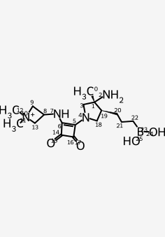 C[C@]1(N)CN(c2c(NC3C[N+](C)(C)C3)c(=O)c2=O)C[C@@H]1CCCB(O)O